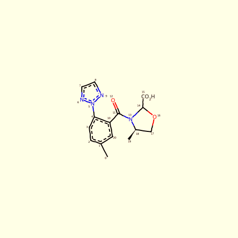 Cc1ccc(-n2nccn2)c(C(=O)N2C(C(=O)O)OC[C@H]2C)c1